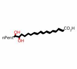 CCCCCC(O)C(O)CCCCC=CC=CC=CC=CC=CC(=O)O